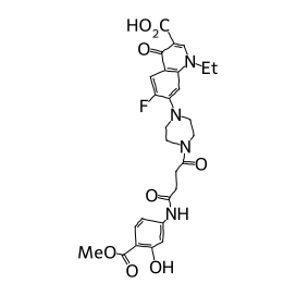 CCn1cc(C(=O)O)c(=O)c2cc(F)c(N3CCN(C(=O)CCC(=O)Nc4ccc(C(=O)OC)c(O)c4)CC3)cc21